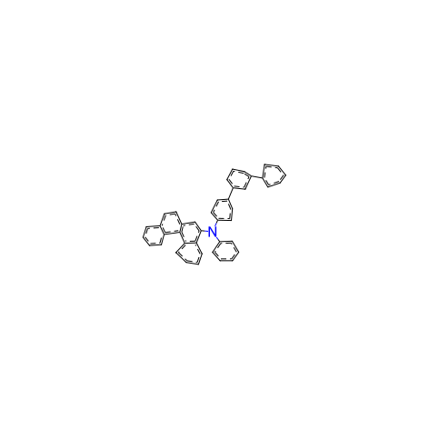 c1ccc(-c2cccc(-c3ccc(N(c4ccccc4)c4cc5ccc6ccccc6c5c5ccccc45)cc3)c2)cc1